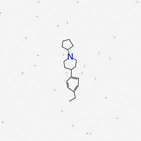 CCc1ccc(C2CCN(C3CCCC3)CC2)cc1